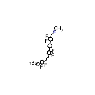 C/C=C/CCc1ccc(C2CC=C(c3ccc(CCCc4ccc(OCCCC)c(F)c4F)c(F)c3F)CC2)c(F)c1F